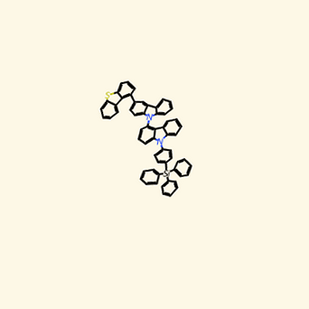 c1ccc([Si](c2ccccc2)(c2ccccc2)c2ccc(-n3c4ccccc4c4c(-n5c6ccccc6c6cc(-c7cccc8sc9ccccc9c78)ccc65)cccc43)cc2)cc1